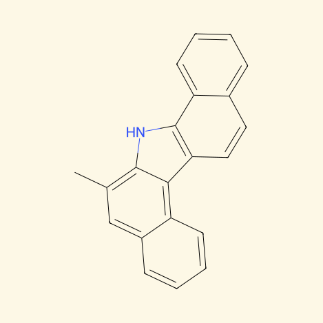 Cc1cc2ccccc2c2c1[nH]c1c3ccccc3ccc12